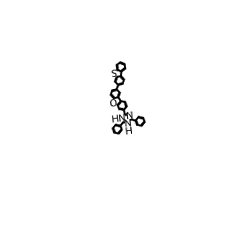 c1ccc(C2N=C(c3ccc4c(c3)oc3ccc(-c5ccc6c(c5)sc5ccccc56)cc34)NC(c3ccccc3)N2)cc1